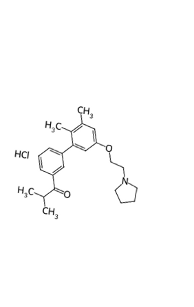 Cc1cc(OCCN2CCCC2)cc(-c2cccc(C(=O)C(C)C)c2)c1C.Cl